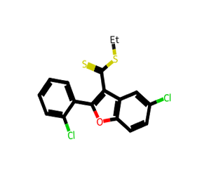 CCSC(=S)c1c(-c2ccccc2Cl)oc2ccc(Cl)cc12